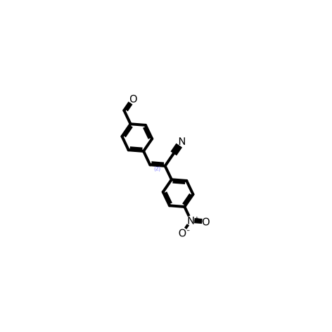 N#C/C(=C\c1ccc(C=O)cc1)c1ccc([N+](=O)[O-])cc1